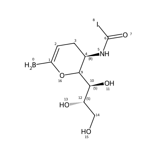 BC1=CC[C@@H](NC(=O)I)C([C@@H](O)[C@@H](O)CO)O1